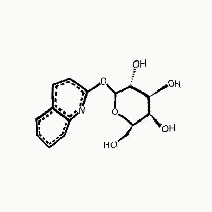 OC[C@H]1OC(Oc2ccc3ccccc3n2)[C@H](O)[C@@H](O)[C@H]1O